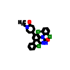 CCN1CCC(c2cc(-c3ccccc3Cl)c3c(c2)N(c2c(Cl)cccc2Cl)C(=O)NC3)CCC1=O